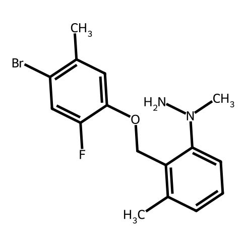 Cc1cc(OCc2c(C)cccc2N(C)N)c(F)cc1Br